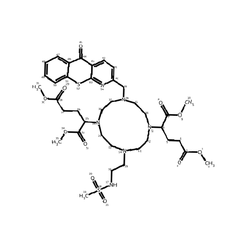 COC(=O)CCC(C(=O)OC)N1CCN(CCNS(C)(=O)=O)CCN(C(CCC(=O)OC)C(=O)OC)CCN(Cc2ccc3c(=O)c4ccccc4sc3n2)CC1